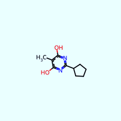 Cc1c(O)nc(C2CCCC2)nc1O